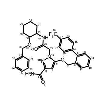 NC(=O)c1cc(OCc2ccccc2-c2ccc(C(F)(F)F)cc2)n(CC(=O)NC2CCCCC2OCc2ccccc2)n1